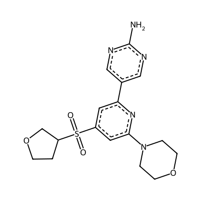 Nc1ncc(-c2cc(S(=O)(=O)C3CCOC3)cc(N3CCOCC3)n2)cn1